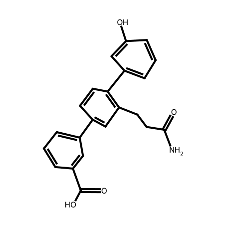 NC(=O)CCc1cc(-c2cccc(C(=O)O)c2)ccc1-c1cccc(O)c1